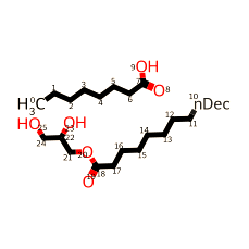 CCCCCCCC(=O)O.CCCCCCCCCCCCCCCCCC(=O)OCC(O)CO